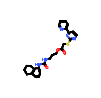 O=C(NCCCOC(=O)CSc1nccc(-c2ccccn2)n1)Nc1cccc2c1CCCC2